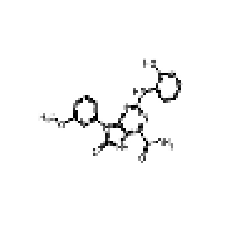 COc1cccc(-n2c(=O)[nH]c3c(C(N)=O)nc(Nc4ccccc4O)nc32)c1